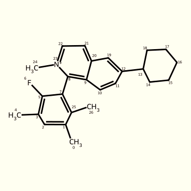 Cc1cc(C)c(F)c(-c2c3ccc(C4CCCCC4)cc3cc[n+]2C)c1C